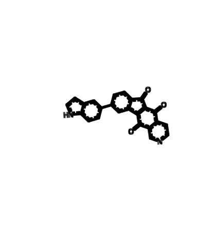 O=c1c2c(=O)c3ccc(-c4ccc5[nH]ccc5c4)cc3c=2c(=O)c2cnccc12